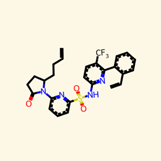 C=CCCC1CCC(=O)N1c1cccc(S(=O)(=O)Nc2ccc(C(F)(F)F)c(-c3ccccc3C=C)n2)n1